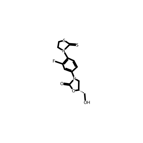 O=C1O[C@@H](CO)CN1c1ccc(N2CCSC2=S)c(F)c1